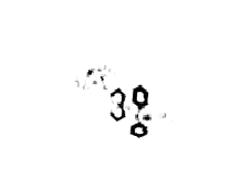 CC(C)(C)[Si](C)(C)OC[C@@H]1CC[C@@]2(CO[Si](c3ccccc3)(c3ccccc3)C(C)(C)C)CCCN12